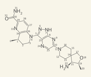 C[C@@H]1CCN(c2n[nH]c3nc(N4CCC5(CC4)CO[C@@H](C)[C@H]5N)cnc23)c2ccc(C(N)=O)nc21